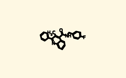 Cc1c(-c2ccccc2)nc2ccccc2c1C(=O)NCc1ccc(F)cc1